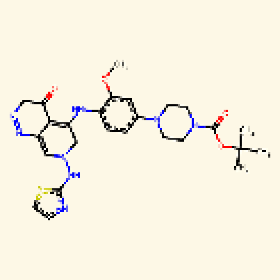 COc1cc(N2CCN(C(=O)OC(C)(C)C)CC2)ccc1NC1=C2C(=O)CN=NC2=CN(Nc2nccs2)C1